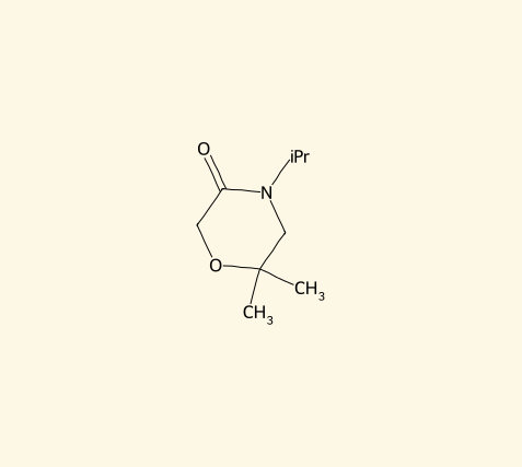 CC(C)N1CC(C)(C)OCC1=O